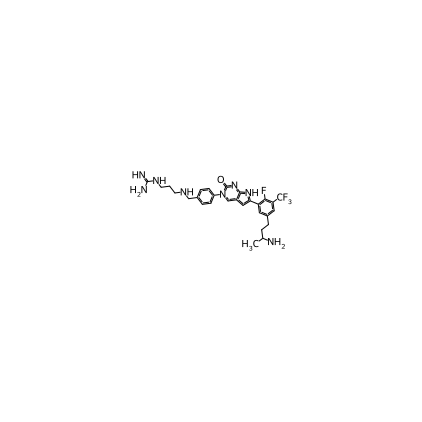 CC(N)CCc1cc(-c2cc3cn(-c4ccc(CNCCCNC(=N)N)cc4)c(=O)nc3[nH]2)c(F)c(C(F)(F)F)c1